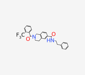 O=C(NCCc1ccccc1)c1ccc2c(c1)CCN(C(=O)c1ccccc1C(F)(F)F)C2